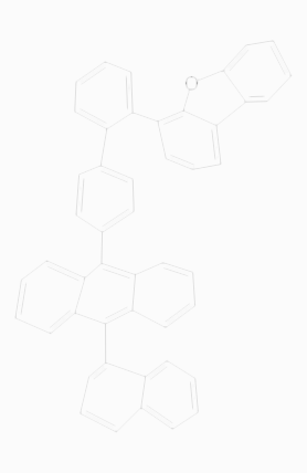 c1ccc(-c2cccc3c2oc2ccccc23)c(-c2ccc(-c3c4ccccc4c(-c4cccc5ccccc45)c4ccccc34)cc2)c1